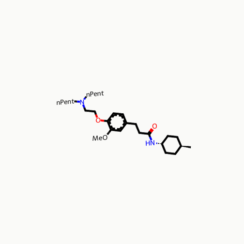 CCCCCN(CCCCC)CCOc1ccc(CCC(=O)N[C@H]2CC[C@H](C)CC2)cc1OC